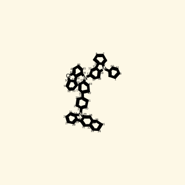 c1ccc(-n2c3ccccc3c3cc(N(c4ccc(-c5ccc(-n6c7ccccc7c7cc8ccccc8cc76)cc5)cc4)c4cccc5oc6ccccc6c45)ccc32)cc1